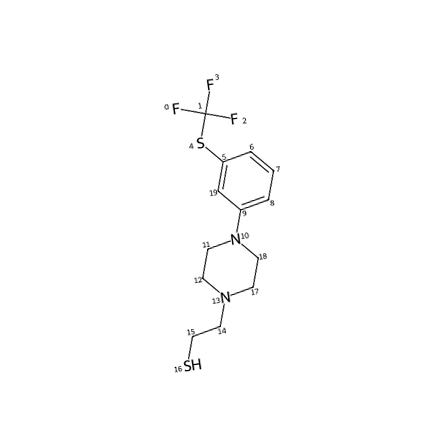 FC(F)(F)Sc1cccc(N2CCN(CCS)CC2)c1